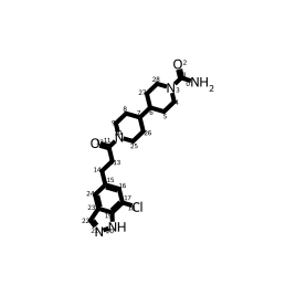 NC(=O)N1CCC(C2CCN(C(=O)[CH]Cc3cc(Cl)c4[nH]ncc4c3)CC2)CC1